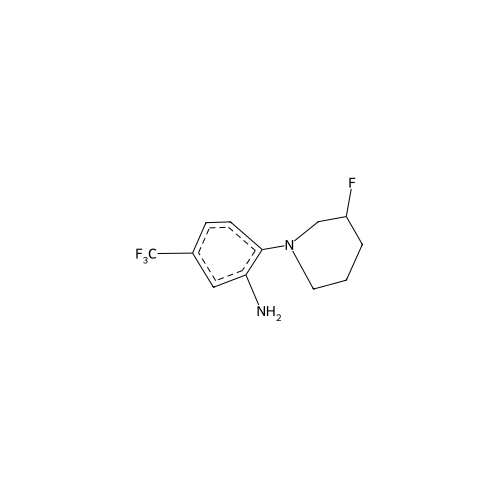 Nc1cc(C(F)(F)F)ccc1N1CCCC(F)C1